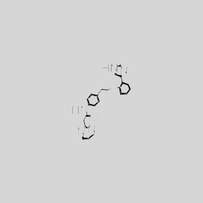 O=C(Cc1ncccn1)Nc1ccc(CCOc2ccccc2-c2c[nH]cn2)cc1